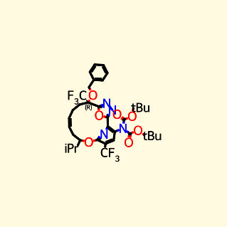 CC(C)C1CC=CCC[C@](OCc2ccccc2)(C(F)(F)F)c2nnc(o2)-c2nc(c(C(F)(F)F)cc2N(C(=O)OC(C)(C)C)C(=O)OC(C)(C)C)O1